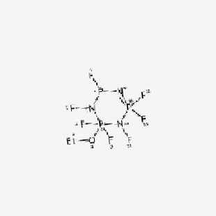 CCOP1(F)(F)N(F)P(F)N=P(F)(F)N1F